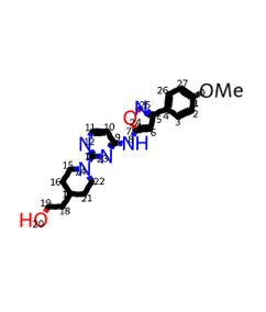 COc1ccc(-c2cc(Nc3ccnc(N4CCC(CCO)CC4)n3)on2)cc1